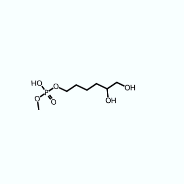 COP(=O)(O)OCCCCC(O)CO